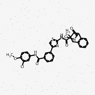 COc1ccc(NC(=O)c2cccc(-c3csc(NC(=O)C4(C)CC5C(=O)N(C)C4c4ccccc45)n3)c2)cc1Cl